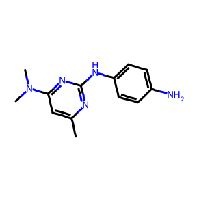 Cc1cc(N(C)C)nc(Nc2ccc(N)cc2)n1